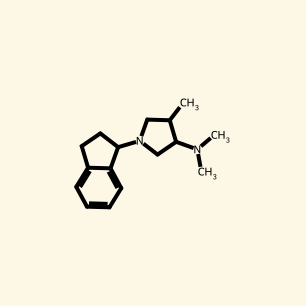 CC1CN(C2CCc3ccccc32)CC1N(C)C